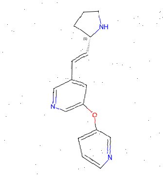 C(=C[C@@H]1CCCN1)c1cncc(Oc2cccnc2)c1